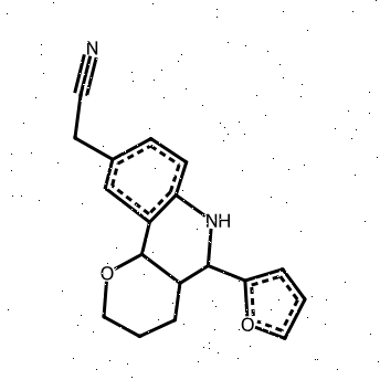 N#CCc1ccc2c(c1)C1OCCCC1C(c1ccco1)N2